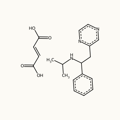 CC(C)NC(Cc1cnccn1)c1ccccc1.O=C(O)C=CC(=O)O